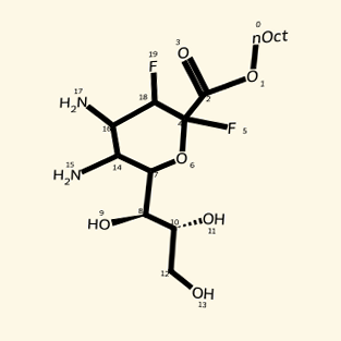 CCCCCCCCOC(=O)C1(F)OC([C@H](O)[C@H](O)CO)C(N)C(N)C1F